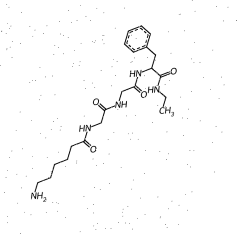 CCNC(=O)C(Cc1ccccc1)NC(=O)CNC(=O)CNC(=O)CCCCCN